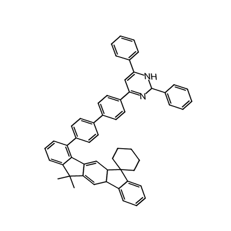 CC1(C)C2=CC3c4ccccc4C4(CCCCC4)C3C=C2c2c(-c3ccc(-c4ccc(C5=NC(c6ccccc6)NC(c6ccccc6)=C5)cc4)cc3)cccc21